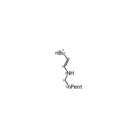 [CH2]CCCCCNC=CCCCC